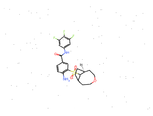 Nc1ccc(C(=O)Nc2cc(F)c(F)c(F)c2)cc1S(=O)(=O)C1C2CCOCC[C@@H]1CC2